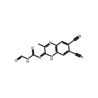 Cc1nc2cc(C#N)c(C#N)cc2[nH]/c1=N/C(=O)NC=O